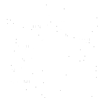 CC1=C(NC=O)C(=O)N(CC(=O)O)C(=O)/C1=C\C=C\c1cn(CC(=O)O)c(=O)c(C(N)=O)c1C